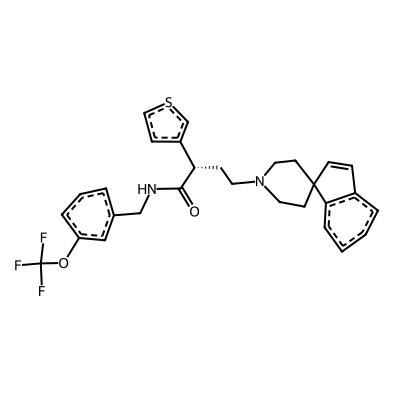 O=C(NCc1cccc(OC(F)(F)F)c1)[C@@H](CCN1CCC2(C=Cc3ccccc32)CC1)c1ccsc1